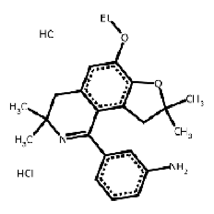 CCOc1cc2c(c3c1OC(C)(C)C3)C(c1cccc(N)c1)=NC(C)(C)C2.Cl.Cl